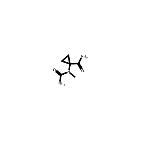 CN(C(N)=O)C1(C(N)=O)CC1